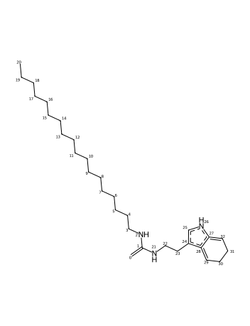 C=C(NCCCCCCCCCCCCCCCCCC)NCCc1c[nH]c2c1=CCCC=2